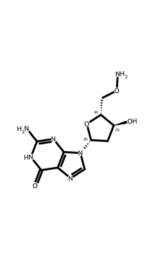 NOC[C@H]1O[C@@H](n2cnc3c(=O)[nH]c(N)nc32)C[C@@H]1O